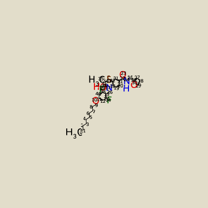 CCCCCCCCCCOc1cc(F)c(CN2c3ccc(C(=O)NCc4ccco4)cc3SC(C)C2O)c(F)c1